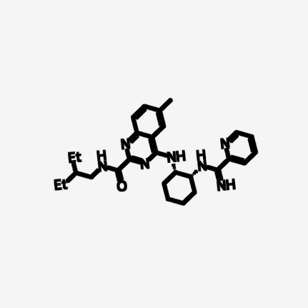 CCC(CC)CNC(=O)c1nc(N[C@H]2CCCC[C@H]2NC(=N)c2ccccn2)c2cc(C)ccc2n1